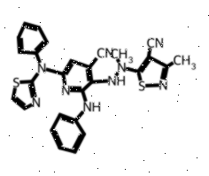 Cc1nsc(N(C)Nc2c(C#N)cc(N(c3ccccc3)c3nccs3)nc2Nc2ccccc2)c1C#N